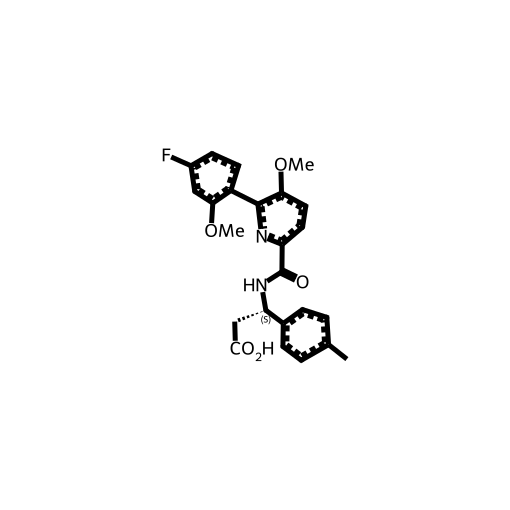 COc1cc(F)ccc1-c1nc(C(=O)N[C@@H](CC(=O)O)c2ccc(C)cc2)ccc1OC